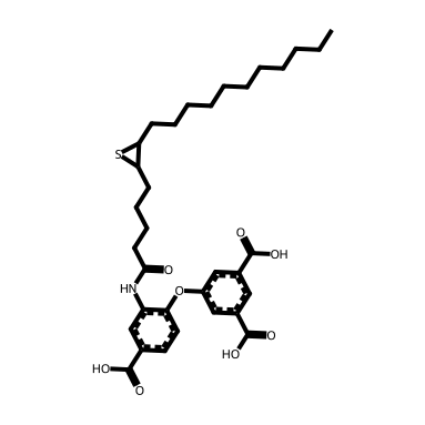 CCCCCCCCCCCC1SC1CCCCC(=O)Nc1cc(C(=O)O)ccc1Oc1cc(C(=O)O)cc(C(=O)O)c1